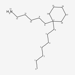 CCCCCCCC1(CCCCCN)CCCCC1